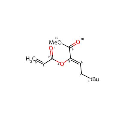 C=CC(=O)OC(=CCC(C)(C)C)C(=O)OC